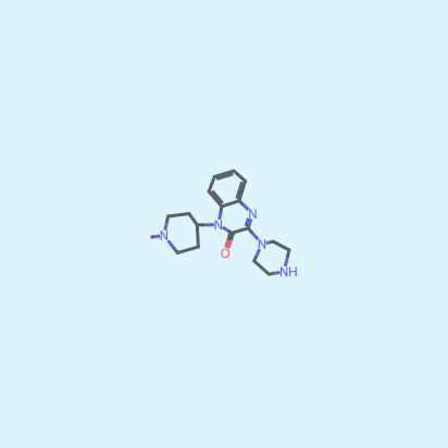 CN1CCC(n2c(=O)c(N3CCNCC3)nc3ccccc32)CC1